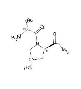 CC(C)(C)[C@@H](N)C(=O)N1C[C@@H](O)C[C@@H]1C(N)=O